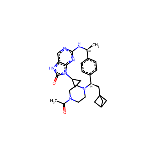 CC(=O)N1CCN([C@H](CC23CC(C2)C3)c2ccc([C@H](C)Nc3ncc4[nH]c(=O)n(C5CC5)c4n3)cc2)CC1